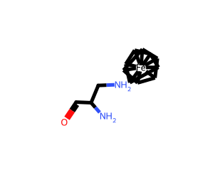 NCC(N)C=O.[CH]12[CH]3[CH]4[CH]5[CH]1[Fe]23451678[CH]2[CH]1[CH]6[CH]7[CH]28